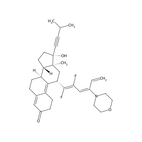 C=C/C(=C\C(F)=C(/F)[C@H]1C[C@@]2(C)[C@@H](CC[C@@]2(O)C#CC(C)C)[C@@H]2CCC3=CC(=O)CCC3=C21)N1CCOCC1